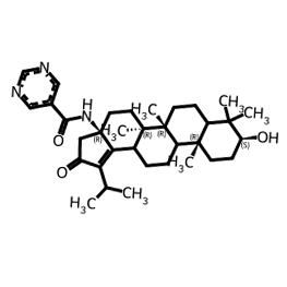 CC(C)C1=C2C3CCC4[C@@]5(C)CC[C@H](O)C(C)(C)C5CC[C@@]4(C)[C@]3(C)CC[C@@]2(NC(=O)c2cncnc2)CC1=O